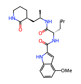 COc1cccc2[nH]c(C(=O)N[C@@H](CC(C)C)C(=O)N[C@H](C)C[C@@H]3CCCNC3=O)cc12